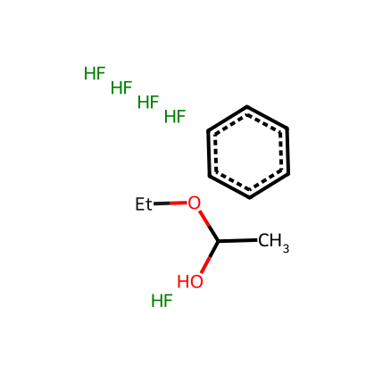 CCOC(C)O.F.F.F.F.F.c1ccccc1